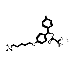 Cc1ccc(C(OC(=O)C(N)C(C)C)c2ccc(OCCCCC[N+](C)(C)C)cc2)cc1